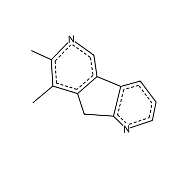 Cc1ncc2c(c1C)Cc1ncccc1-2